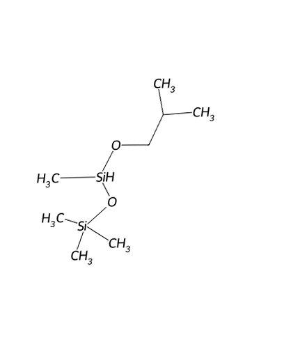 CC(C)CO[SiH](C)O[Si](C)(C)C